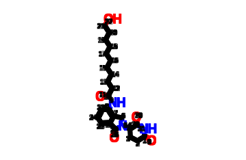 O=C1CCC(N2Cc3c(NC(=O)CCCCCCCCCCO)cccc3C2=O)C(=O)N1